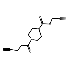 C#CCCC(=O)N1CCN(C(=O)OCC#C)CC1